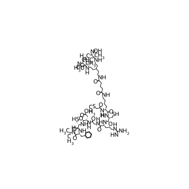 CSCC(=O)N[C@@H](CCCCNC(=O)CCCC(=O)NCCC(CCNC(C)(C)/C(C)=N\O)CCNC(C)(C)/C(C)=N\O)C(=O)N[C@@H](CS)C(=O)N[C@@H](CCCNC(=N)N)C(=O)NCC(=O)N[C@@H](CC(=O)O)C(=O)N[C@@H](CS)C(=O)N[C@@H](Cc1ccccc1)C(=O)NC(C)C